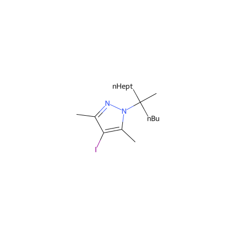 CCCCCCCC(C)(CCCC)n1nc(C)c(I)c1C